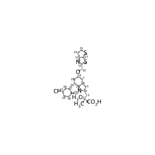 CC(C)(Cc1cc2cc(OCc3nc4ccsc4s3)ccc2n1Cc1ccc(Cl)cc1)C(=O)O